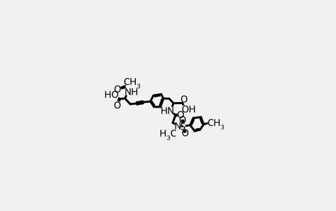 CC(=O)NC(CC#Cc1ccc(CC(NC(=O)CN(C)S(=O)(=O)c2ccc(C)cc2)C(=O)O)cc1)C(=O)O